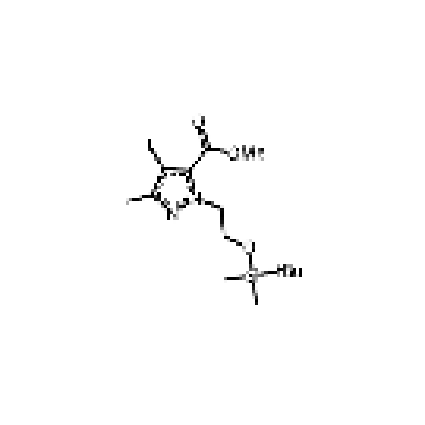 COC(=O)c1c(I)c(C)nn1CCO[Si](C)(C)C(C)(C)C